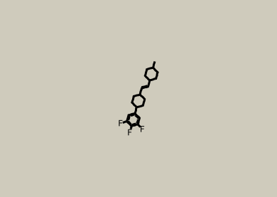 CC1CCC(/C=C/C2CCC(c3cc(F)c(F)c(F)c3)CC2)CC1